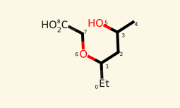 CCC(CC(C)O)OCC(=O)O